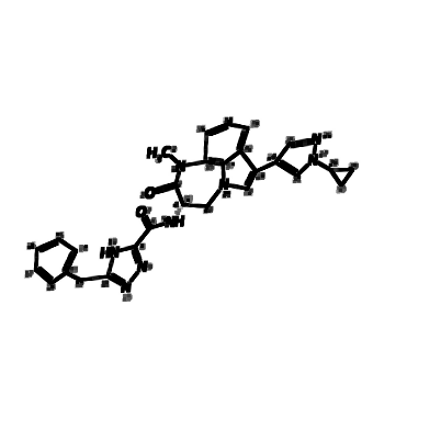 CN1C(=O)[C@@H](NC(=O)c2nnc(Cc3ccccc3)[nH]2)Cn2cc(-c3cnn(C4CC4)c3)c3cccc1c32